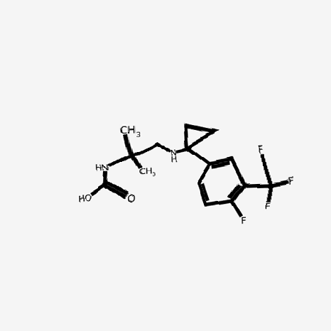 CC(C)(CNC1(c2ccc(F)c(C(F)(F)F)c2)CC1)NC(=O)O